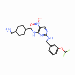 NCC1CCC(CNc2nc(NCc3cccc(OC(F)F)c3)ncc2[N+](=O)[O-])CC1